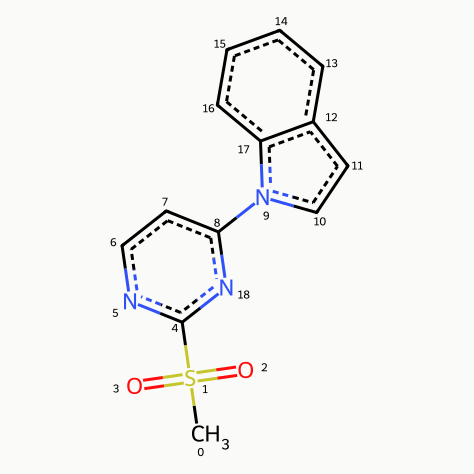 CS(=O)(=O)c1nccc(-n2ccc3ccccc32)n1